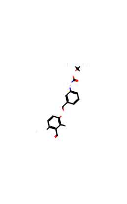 Cc1ccc(OCc2cccc(NC(=O)OC(C)(C)C)c2)c(C)c1C=O